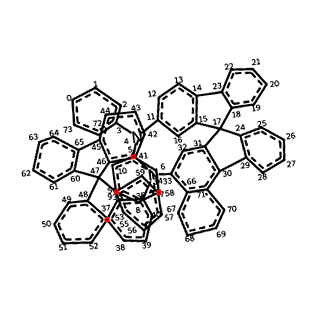 c1ccc(N(c2ccccc2)c2ccc3c(c2)C2(c4ccccc4-3)c3ccccc3-c3c2cc(N(c2ccccc2)c2cccc4c2C(c2ccccc2)(c2ccccc2)c2ccccc2-4)c2ccccc32)cc1